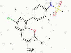 CS(=O)(=O)Nc1ccc(-c2cc(Cl)cc3c2OC(C(F)(F)F)C(C(=O)O)=C3)cc1